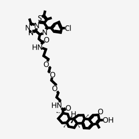 CC1=C(O)C(=O)C=C2C1=CC=C1[C@@]2(C)CC[C@@]2(C)[C@@H]3C[C@](C)(C(=O)NCCCOCCOCCOCCCNC(=O)CC4N=C(c5ccc(Cl)cc5)c5c(sc(C)c5C)-n5c(C)nnc54)CC[C@]3(C)CC[C@]12C